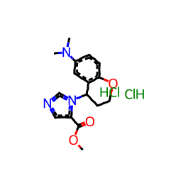 COC(=O)c1cncn1C1CCOc2ccc(N(C)C)cc21.Cl.Cl